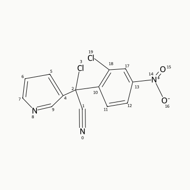 N#CC(Cl)(c1cccnc1)c1ccc([N+](=O)[O-])cc1Cl